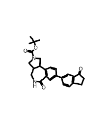 CC(C)(C)OC(=O)N1CC2CNC(=O)c3cc(-c4ccc5c(c4)C(=O)CC5)ccc3C2C1